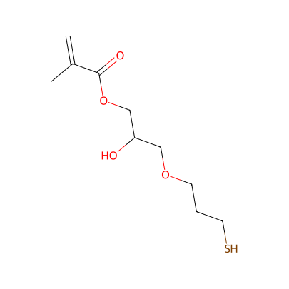 C=C(C)C(=O)OCC(O)COCCCS